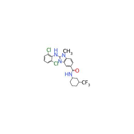 Cn1c(Nc2c(Cl)cccc2Cl)nc2cc(C(=O)NC3CCCC(C(F)(F)F)C3)ccc21